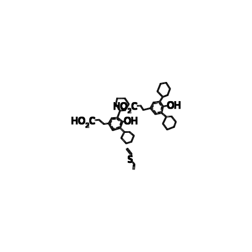 C=CSC=C.O=C(O)CCc1cc(C2CCCCC2)c(O)c(C2CCCCC2)c1.O=C(O)CCc1cc(C2CCCCC2)c(O)c(C2CCCCC2)c1